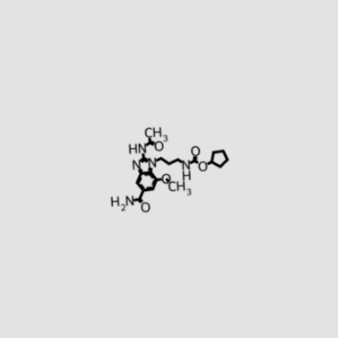 COc1cc(C(N)=O)cc2nc(NC(C)=O)n(CCCNC(=O)OC3CCCC3)c12